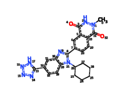 Cn1[nH]c(=O)c2cc(-c3nc4cc(-c5nnn[nH]5)ccc4n3C3CCCCC3)ccc2c1=O